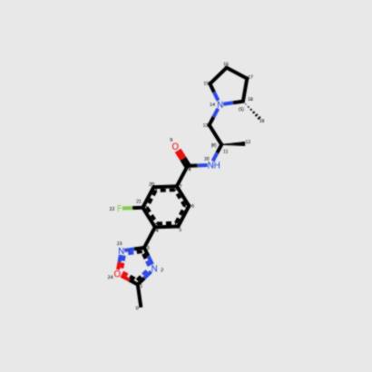 Cc1nc(-c2ccc(C(=O)N[C@H](C)CN3CCC[C@@H]3C)cc2F)no1